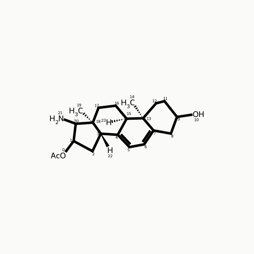 CC(=O)OC1C[C@H]2C3=CC=C4CC(O)CC[C@]4(C)[C@@H]3CC[C@]2(C)C1N